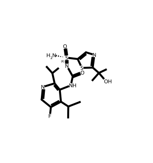 CC(C)c1ncc(F)c(C(C)C)c1NC(=O)N=[S@@](N)(=O)c1cnc(C(C)(C)O)s1